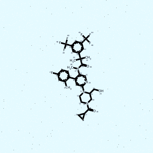 Cc1cc(F)ccc1-c1cc(N2CCN(C(=O)C3CC3)CC2CO)ncc1N(C)C(=O)C(C)(C)c1cc(C(F)(F)F)cc(C(F)(F)F)c1